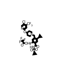 O=C(NS(=O)(=O)C1CC1)c1cc(C2CC2)c(CN2CCC(Oc3cc(C(F)(F)F)c(Cl)cn3)CC2)cc1F.O=C(O)C(F)(F)F